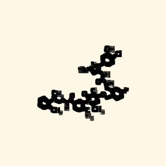 Cc1ccccc1N(C)CCNC(=O)c1ccc(C)c(-n2c(C)cc(OCc3ccc(F)cc3CNC(=O)Nc3cc(C(C)(C)C)nn3-c3ccc(Cl)c(O)c3)c(Cl)c2=O)c1